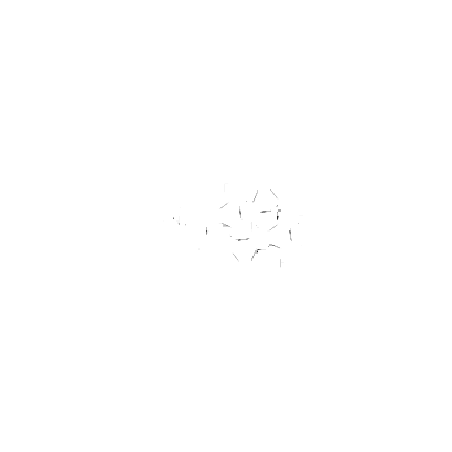 CC[N+](C)(C)C1CCCCC1.Fc1c(F)c(F)c([B-](c2c(F)c(F)c(F)c(F)c2F)(c2c(F)c(F)c(F)c(F)c2F)c2c(F)c(F)c(F)c(F)c2F)c(F)c1F